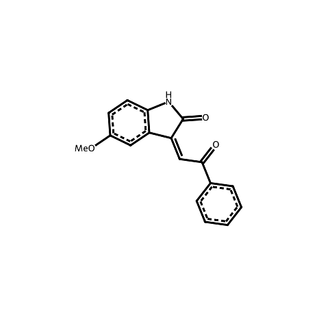 COc1ccc2c(c1)C(=CC(=O)c1ccccc1)C(=O)N2